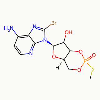 CSP1(=O)OC[C@H]2O[C@@H](n3c(Br)nc4c(N)ccnc43)C(O)C2O1